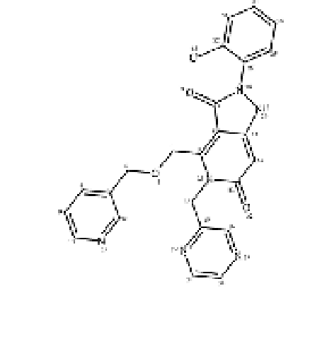 O=c1c2c(COCc3cccnc3)n(Cc3cnccn3)c(=O)cc2[nH]n1-c1ccccc1Cl